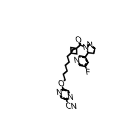 N#Cc1cnc(OCCCCCCC23CC(C(=O)N4N=CCC4c4cncc(F)c4)(C2)C3)cn1